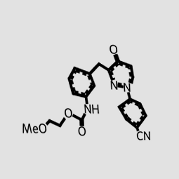 COCCOC(=O)Nc1cccc(Cc2nn(-c3ccc(C#N)cc3)ccc2=O)c1